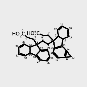 O=C(O)CCC1(CCC2(CCC(=O)O)c3ccc4c(c3C3C=CC=CC32)C4)c2ccccc2C2C=CC=CC21